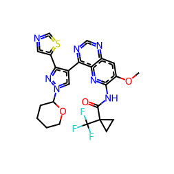 COc1cc2ncnc(-c3cn(C4CCCCO4)nc3-c3cncs3)c2nc1NC(=O)C1(C(F)(F)F)CC1